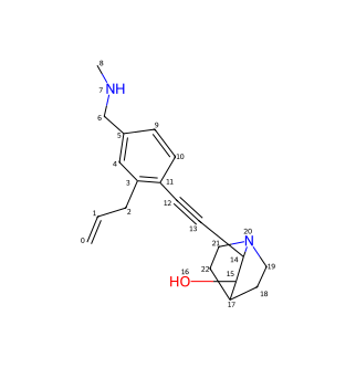 C=CCc1cc(CNC)ccc1C#CC1C(O)C2CCN1CC2